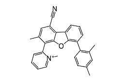 Cc1ccc(-c2cccc3c2oc2c(-c4cccc[n+]4C)c(C)cc(C#N)c23)c(C)c1